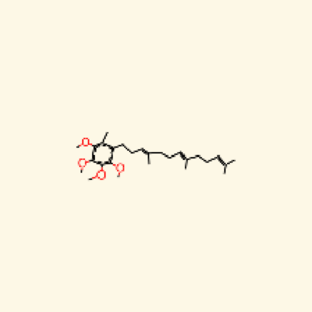 COc1c(C)c(CC/C=C(\C)CC/C=C(\C)CCC=C(C)C)c(OC)c(OC)c1OC